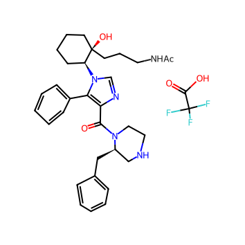 CC(=O)NCCC[C@@]1(O)CCCC[C@@H]1n1cnc(C(=O)N2CCNC[C@H]2Cc2ccccc2)c1-c1ccccc1.O=C(O)C(F)(F)F